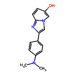 CN(C)c1ccc(-c2cn3cc(O)ccc3n2)cc1